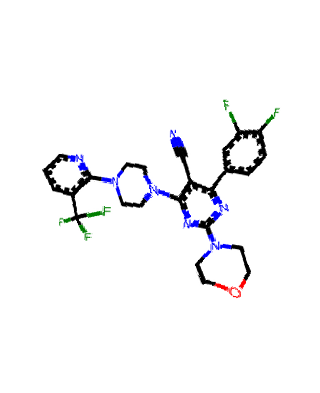 N#Cc1c(-c2ccc(F)c(F)c2)nc(N2CCOCC2)nc1N1CCN(c2ncccc2C(F)(F)F)CC1